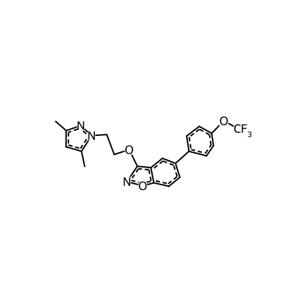 Cc1cc(C)n(CCOc2noc3ccc(-c4ccc(OC(F)(F)F)cc4)cc23)n1